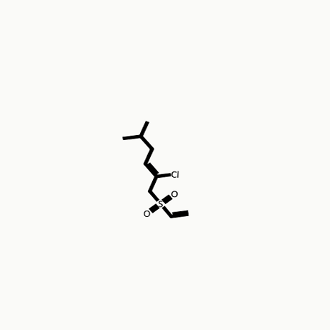 C=CS(=O)(=O)CC(Cl)=CCC(C)C